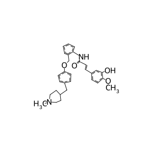 COc1ccc(/C=C/C(=O)Nc2ccccc2COc2ccc(CC3CCN(C)CC3)cc2)cc1O